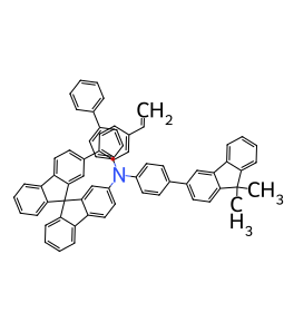 C=Cc1ccc(-c2ccc3c(c2)C2(c4ccccc4-3)c3ccccc3-c3ccc(N(c4ccc(-c5ccccc5)cc4)c4ccc(-c5ccc6c(c5)-c5ccccc5C6(C)C)cc4)cc32)cc1